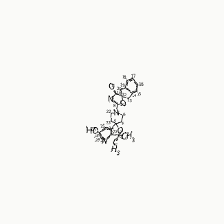 CC1(C)OC2(CCN(C3=NC(=O)C4(Cc5ccccc5C4)O3)CC2)c2cc(O)cnc21